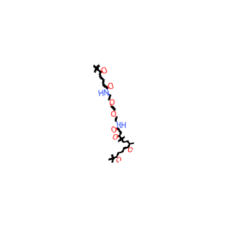 CC(CCC(C)(C)C(=O)CC(=O)NCCOCCOCCNC(=O)CCCC(=O)C(C)(C)C)C(=O)CCCC(=O)C(C)(C)C